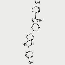 Oc1ccc(-c2nc3cc(-c4ccc5[nH]c(-c6ccc(O)cc6)nc5c4)ccc3[nH]2)cc1